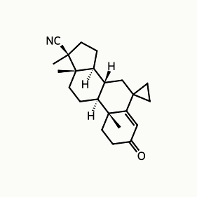 C[C@]12CCC(=O)C=C1C1(CC1)C[C@@H]1[C@@H]2CC[C@@]2(C)[C@H]1CC[C@]2(C)C#N